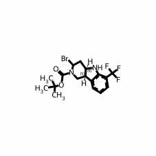 CC(C)(C)OC(=O)N1C[C@@H]2c3cccc(C(F)(F)F)c3N[C@@H]2CC1Br